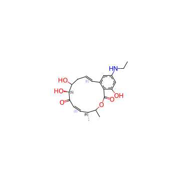 CCNc1cc(O)c2c(c1)/C=C/CC(O)[C@H](O)C(=O)/C=C\[C@@H](C)C(C)OC2=O